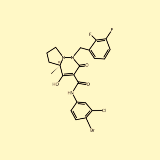 C[C@]12CCCN1N(Cc1cccc(F)c1F)C(=O)C(C(=O)Nc1ccc(Br)c(Cl)c1)=C2O